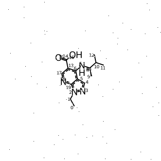 CCn1ncc2c(N[C@H](C)C(C)C)c(C(=O)O)cnc21